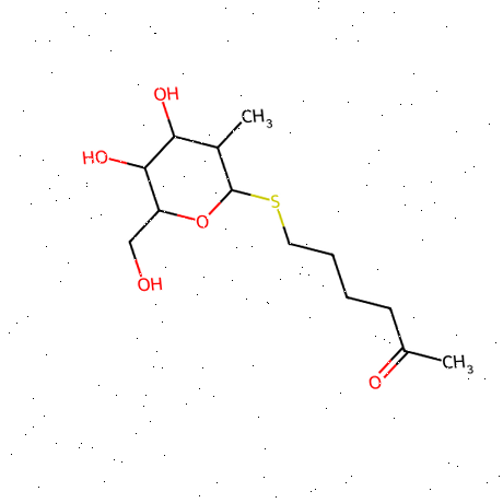 CC(=O)CCCCSC1OC(CO)C(O)C(O)C1C